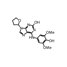 COc1cc(Nc2nc(O)nc3c2ncn3C2CCCO2)cc(OC)c1O